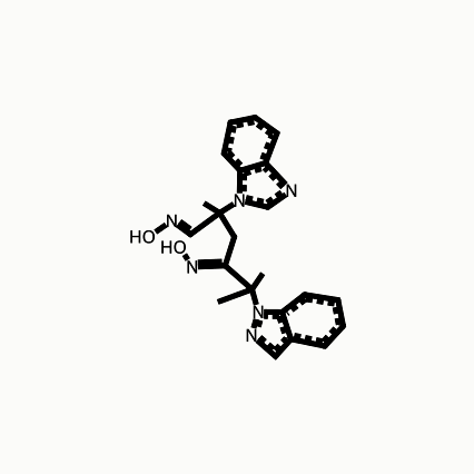 CC(C=NO)(CC(=NO)C(C)(C)n1ncc2ccccc21)n1cnc2ccccc21